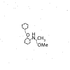 COCC(C)Nc1ccccc1OCc1ccccc1